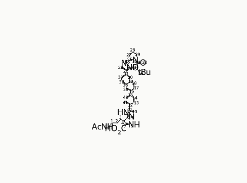 CC(=O)NCCCC(C(=N)C(=O)O)c1ncc(-c2ccc(-c3ccc4cc(-c5cnc(C6CCCN6C(=O)OC(C)(C)C)[nH]5)ccc4c3)cc2)[nH]1